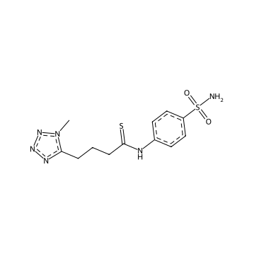 Cn1nnnc1CCCC(=S)Nc1ccc(S(N)(=O)=O)cc1